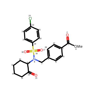 COC(=O)c1ccc(CN(C2CCCCC2=O)S(=O)(=O)c2ccc(Cl)cc2)cc1